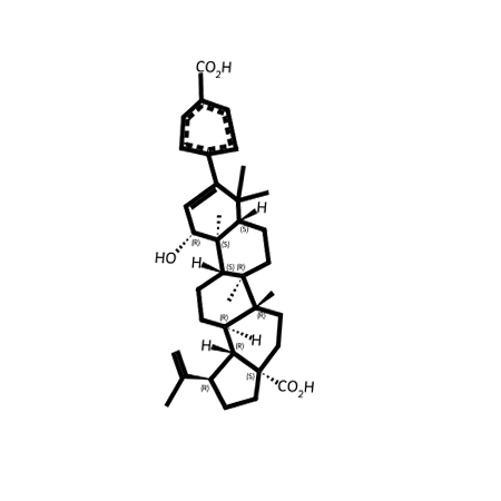 C=C(C)[C@@H]1CC[C@]2(C(=O)O)CC[C@]3(C)[C@H](CC[C@@H]4[C@@]5(C)[C@H](O)C=C(c6ccc(C(=O)O)cc6)C(C)(C)[C@@H]5CC[C@]43C)[C@@H]12